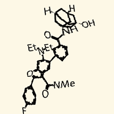 CCN(CC)c1cc2oc(-c3ccc(F)cc3)c(C(=O)NC)c2cc1-c1cccc(C(=O)N[C@@]23C[C@@H]4C[C@@H](C[C@@](O)(C4)C2)C3)c1